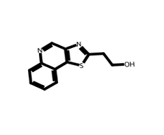 OCCc1nc2cnc3ccccc3c2s1